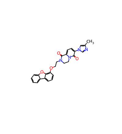 Cc1cn(-c2ccc3n(c2=O)CCN(CCOc2cccc4c2oc2ccccc24)C3=O)cn1